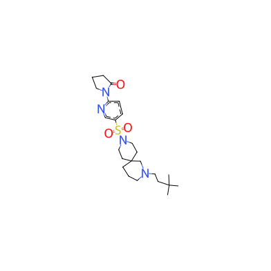 CC(C)(C)CCN1CCCC2(CCN(S(=O)(=O)c3ccc(N4CCCC4=O)nc3)CC2)C1